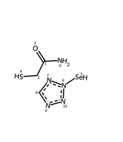 NC(=O)CS.[SeH]n1ncnn1